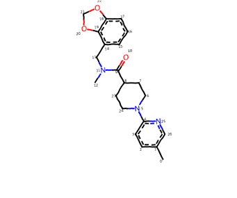 Cc1ccc(N2CCC(C(=O)N(C)Cc3cccc4c3OCO4)CC2)nc1